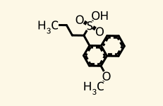 CCCC(c1ccc(OC)c2ccccc12)S(=O)(=O)O